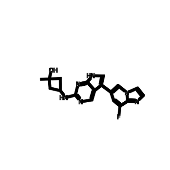 CC1(O)CC(Nc2ncc3c(-c4cc(F)c5nccn5c4)c[nH]c3n2)C1